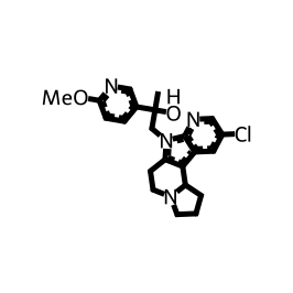 COc1ccc(C(C)(O)Cn2c3c(c4cc(Cl)cnc42)C2CCCN2CC3)cn1